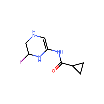 O=C(NC1=CNCC(I)N1)C1CC1